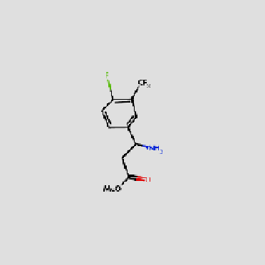 COC(=O)C[C@H](N)c1ccc(F)c(C(F)(F)F)c1